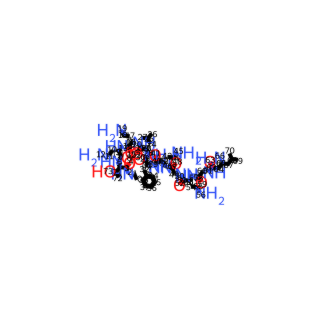 CCNC(=O)C(NC(=O)[C@H](CCN)NC(=O)[C@H](CCN)NC(=O)[C@H](CC(C)C)NC(=O)[C@@H](Cc1ccccc1)NC(=O)[C@H](CCN)NC(=O)CNC(=O)[C@H](CCN)NC(=O)CNC(=O)C[C@@H](N)CC(C)C)C(C)O